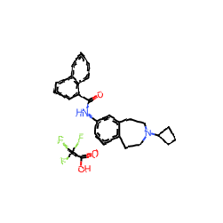 O=C(Nc1ccc2c(c1)CCN(C1CCC1)CC2)c1cccc2ccccc12.O=C(O)C(F)(F)F